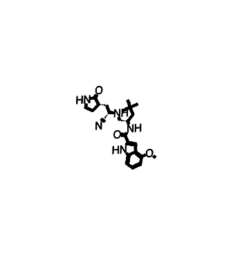 COc1cccc2[nH]c(C(=O)N[C@H](CN[C@H](C#N)C[C@@H]3CCNC3=O)CC(C)(C)C)cc12